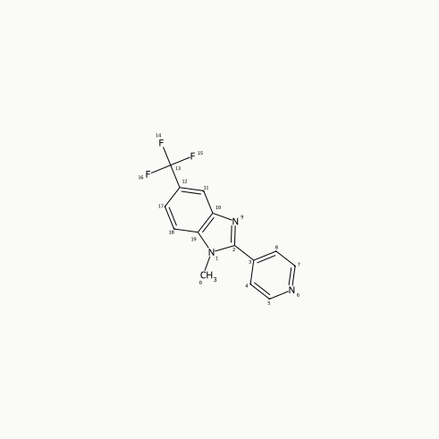 Cn1c(-c2ccncc2)nc2cc(C(F)(F)F)ccc21